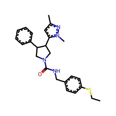 CCSc1ccc(CNC(=O)N2CC(c3ccccc3)C(c3cc(C)nn3C)C2)cc1